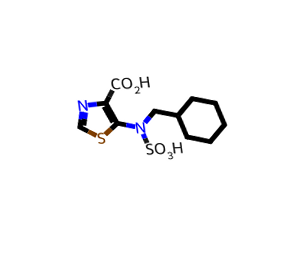 O=C(O)c1ncsc1N(CC1CCCCC1)S(=O)(=O)O